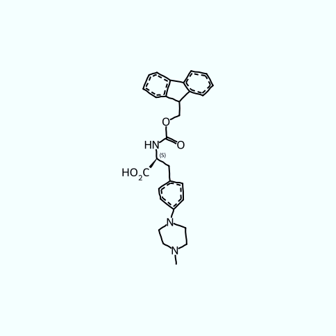 CN1CCN(c2ccc(C[C@H](NC(=O)OCC3c4ccccc4-c4ccccc43)C(=O)O)cc2)CC1